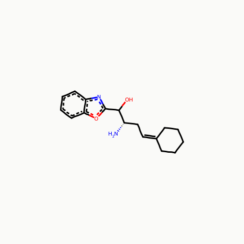 N[C@@H](CC=C1CCCCC1)C(O)c1nc2ccccc2o1